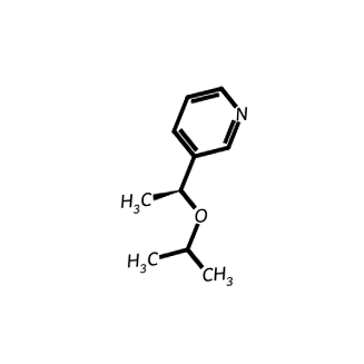 CC(C)O[C@@H](C)c1cccnc1